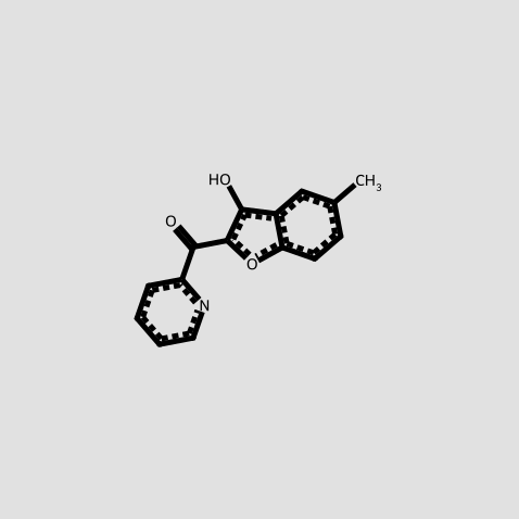 Cc1ccc2oc(C(=O)c3ccccn3)c(O)c2c1